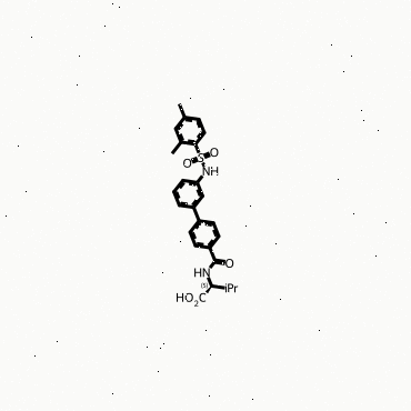 Cc1ccc(S(=O)(=O)Nc2cccc(-c3ccc(C(=O)N[C@H](C(=O)O)C(C)C)cc3)c2)c(C)c1